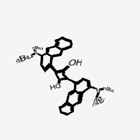 CCCCN(CCCC)c1ccc(C2C(O)C(c3ccc(N(CCCC)CCCC)c4cc5ccccc5cc34)C2O)c2cc3ccccc3cc12